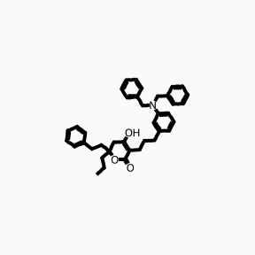 CCCC1(CCc2ccccc2)CC(O)=C(CCCc2cccc(N(Cc3ccccc3)Cc3ccccc3)c2)C(=O)O1